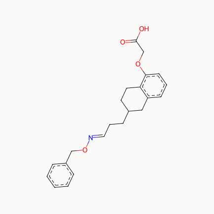 O=C(O)COc1cccc2c1CCC(CCC=NOCc1ccccc1)C2